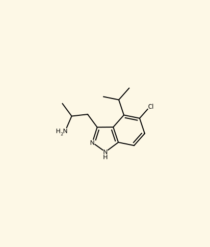 CC(N)Cc1n[nH]c2ccc(Cl)c(C(C)C)c12